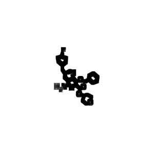 Nc1nc(C(=O)OC2CCOCC2)c(OCc2ccccc2)c2ncc(Cc3ccc(F)cc3)cc12